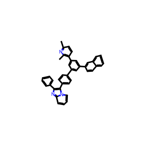 Cc1ccc(-c2cc(-c3ccc(-c4c(-c5ccccc5)nc5ccccn45)cc3)cc(-c3ccc4ccccc4c3)c2)c(C)n1